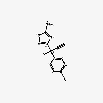 C#CC(C)(c1ccc(Br)cc1)c1csc(NC(C)=O)n1